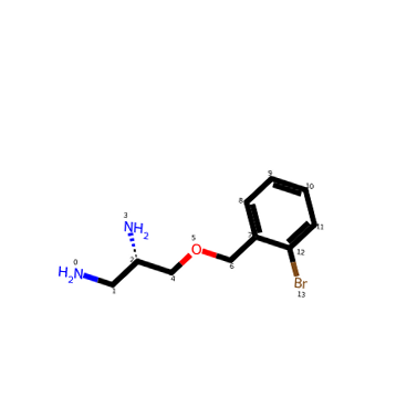 NC[C@H](N)COCc1ccccc1Br